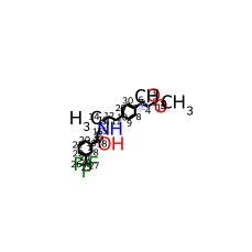 COC(=O)/C=C(\C)c1ccc(CC[C@H](C)NC[C@@H](O)c2cccc(C(F)(F)F)c2)cc1